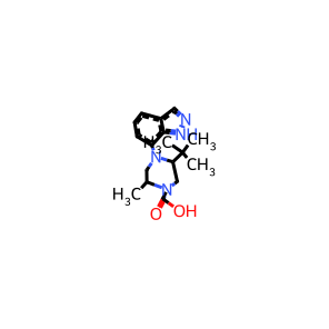 CC1CN(c2cccc3cn[nH]c23)C(C(C)(C)C)CN1C(=O)O